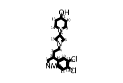 CNCC(CCN1CC(N2CCC(O)CC2)C1)c1ccc(Cl)c(Cl)c1